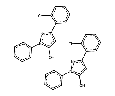 Oc1cc(-c2ccccc2Cl)nn1-c1ccccc1.Oc1cc(-c2ccccc2Cl)nn1-c1ccccc1